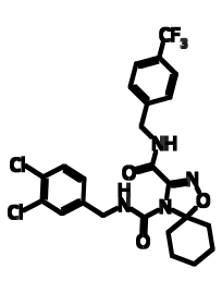 O=C(NCc1ccc(C(F)(F)F)cc1)C1=NOC2(CCCCC2)N1C(=O)NCc1ccc(Cl)c(Cl)c1